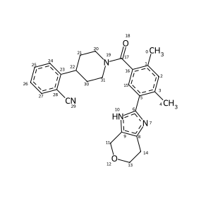 Cc1cc(C)c(-c2nc3c([nH]2)COCC3)cc1C(=O)N1CCC(c2ccccc2C#N)CC1